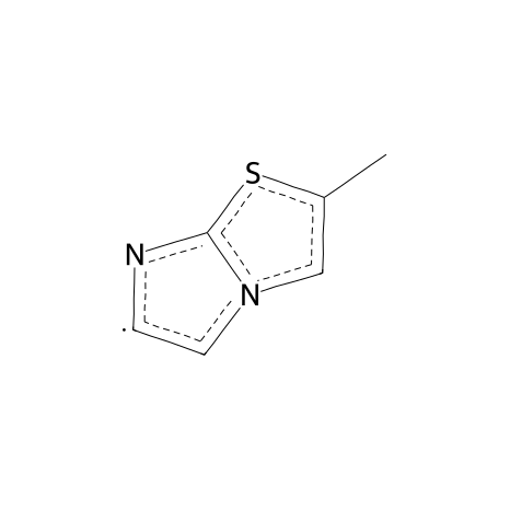 Cc1cn2c[c]nc2s1